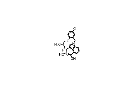 CC(CF)COc1ccc(Cl)cc1Cn1cc(CCO)c2c(C(=O)O)cccc21